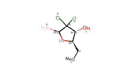 B[C@@H]1O[C@H](COC)[C@@H](O)C1(Cl)Cl